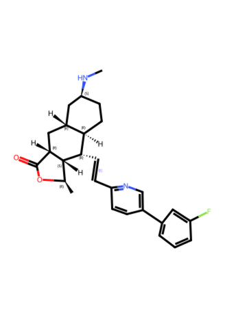 CN[C@H]1CC[C@@H]2[C@@H](C1)C[C@H]1C(=O)O[C@H](C)[C@H]1[C@H]2/C=C/c1ccc(-c2cccc(F)c2)cn1